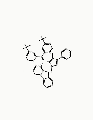 CC1=[C]([Zr+2](=[C](c2cccc(C(F)(F)F)c2)c2cccc(C(F)(F)F)c2)[c]2cccc3c2Cc2ccccc2-3)C(C)C=C1c1ccccc1.[Cl-].[Cl-]